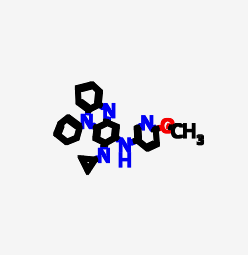 COc1ccc(Nc2cc3nc4ccccc4n(C4=CC=CCC4)c-3c/c2=N\C2CC2)cn1